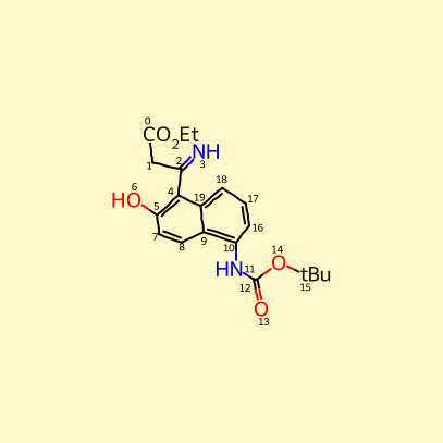 CCOC(=O)CC(=N)c1c(O)ccc2c(NC(=O)OC(C)(C)C)cccc12